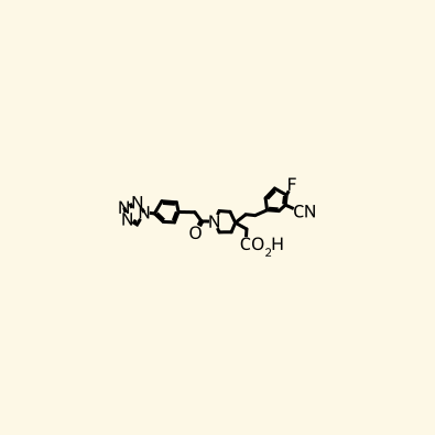 N#Cc1cc(CCC2(CC(=O)O)CCN(C(=O)Cc3ccc(-n4cnnn4)cc3)CC2)ccc1F